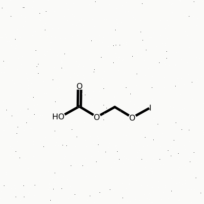 O=C(O)OCOI